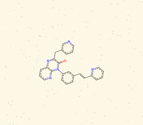 O=c1c(Cc2cccnc2)nc2cccnc2n1-c1cccc(C=Cc2ccccn2)c1